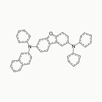 c1ccc(N(c2ccc3ccccc3c2)c2ccc3c(c2)oc2ccc(N(c4ccccc4)c4ccccc4)cc23)cc1